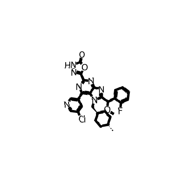 COC(c1ccccc1F)c1nc2nc(-c3n[nH]c(=O)o3)nc(-c3cncc(Cl)c3)c2n1C[C@H]1CC[C@H](C)CC1